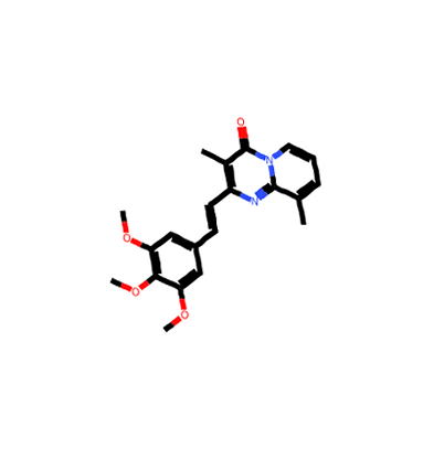 COc1cc(/C=C/c2nc3c(C)cccn3c(=O)c2C)cc(OC)c1OC